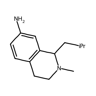 CC(C)CC1c2cc(N)ccc2CCN1C